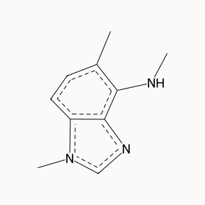 CNc1c(C)ccc2c1ncn2C